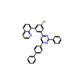 Brc1cc(-c2cc(-c3ccc(-c4ccccc4)cc3)nc(-c3ccccc3)n2)cc(-c2cccc3cccnc23)c1